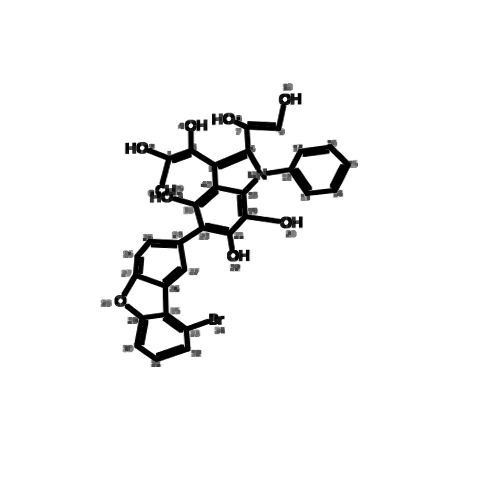 C/C(O)=C(/O)c1c(/C(O)=C/O)n(-c2ccccc2)c2c(O)c(O)c(-c3ccc4oc5cccc(Br)c5c4c3)c(O)c12